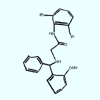 COc1ccccc1C(NCC(=O)Nc1c(C(C)C)cccc1C(C)C)c1ccccc1